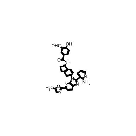 Cc1cnc(-c2ccc3nc(-c4cccnc4N)n(-c4ccc5c(c4)CC[C@@H]5NC(=O)c4ccc(O)c(C=O)c4)c3n2)o1